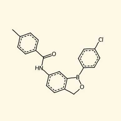 Cc1ccc(C(=O)Nc2ccc3c(c2)B(c2ccc(Cl)cc2)OC3)cc1